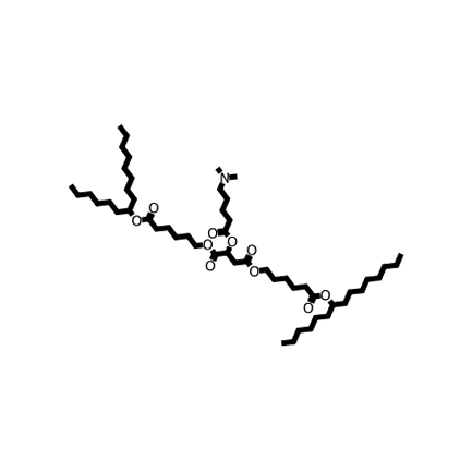 CCCCCCCCC(CCCCCC)OC(=O)CCCCCOC(=O)CC(OC(=O)CCCCN(C)C)C(=O)OCCCCCC(=O)OC(CCCCCC)CCCCCCCC